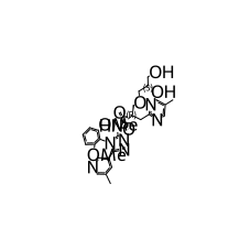 COc1cccc(OC)c1-n1c(NS(=O)(=O)[C@@H](COC[C@@H](O)CO)Cc2ncc(C)cn2)nnc1-c1cncc(C)c1